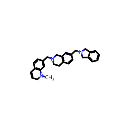 CN1CC=Cc2ccc(CN3CCc4ccc(CN5Cc6ccccc6C5)cc4C3)cc21